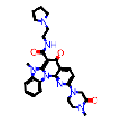 CN1CCN(c2ccc3c(=O)c(C(=O)NCCN4CCCC4)c4n(C)c5ccccc5n4c3n2)CC1=O